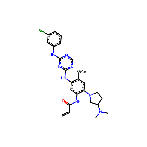 C=CC(=O)Nc1cc(Nc2ncnc(Nc3cccc(Br)c3)n2)c(OC)cc1N1CCC(N(C)C)C1